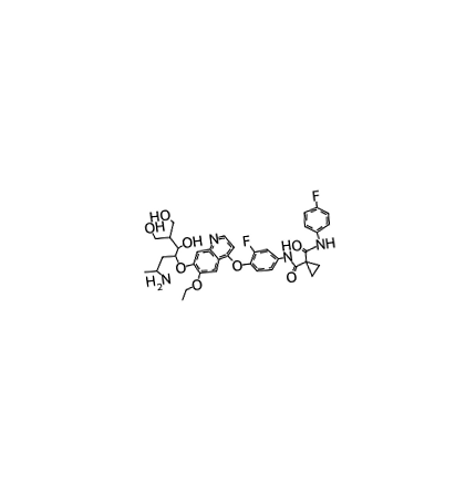 CCOc1cc2c(Oc3ccc(NC(=O)C4(C(=O)Nc5ccc(F)cc5)CC4)cc3F)ccnc2cc1OC(CC(C)N)C(O)C(CO)CO